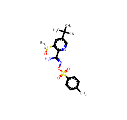 CC[S@@+]([O-])c1cc(C(C)(C)C#N)cnc1/C(N)=N/OS(=O)(=O)c1ccc(C)cc1